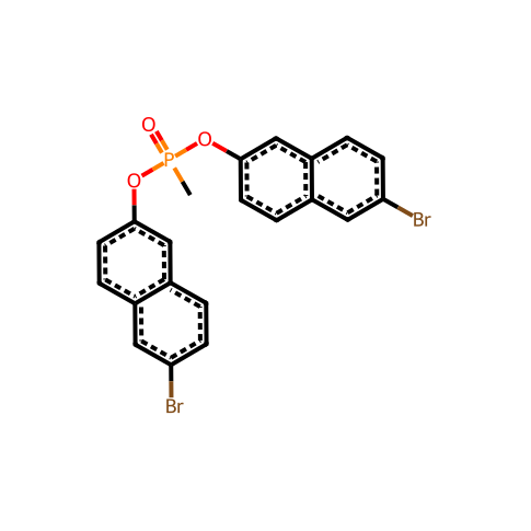 CP(=O)(Oc1ccc2cc(Br)ccc2c1)Oc1ccc2cc(Br)ccc2c1